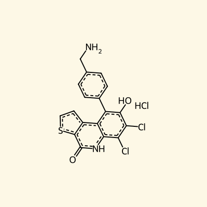 Cl.NCc1ccc(-c2c(O)c(Cl)c(Cl)c3[nH]c(=O)c4sccc4c23)cc1